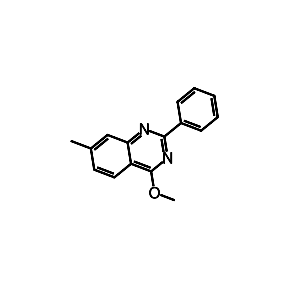 COc1nc(-c2ccccc2)nc2cc(C)ccc12